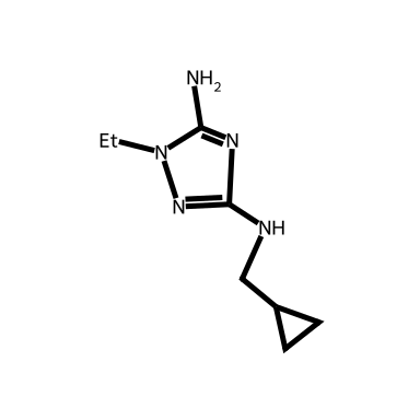 CCn1nc(NCC2CC2)nc1N